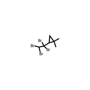 CC1(C)[CH]C1C(Br)(Br)C(Br)Br